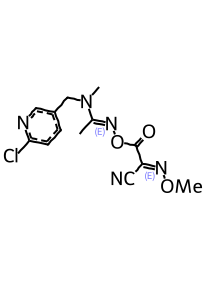 CO/N=C(\C#N)C(=O)O/N=C(\C)N(C)Cc1ccc(Cl)nc1